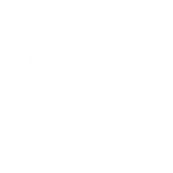 COc1ccc(-c2ccc(OC)c(C34CC5CC(CC(C5)C3)C4)c2)cc1C12CC3CC(CC(C3)C1)C2